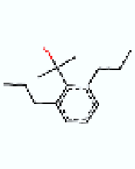 CCCc1cccc(CCC)c1C(C)(C)[O]